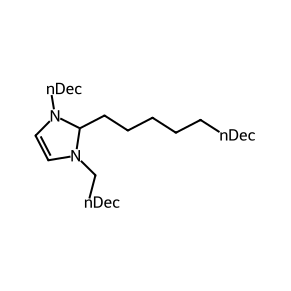 CCCCCCCCCCCCCCCC1N(CCCCCCCCCC)C=CN1CCCCCCCCCCC